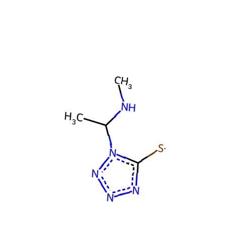 CNC(C)n1nnnc1[S]